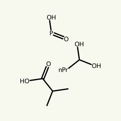 CC(C)C(=O)O.CCCC(O)O.O=PO